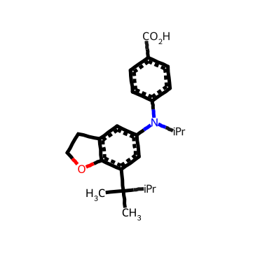 CC(C)N(c1ccc(C(=O)O)cc1)c1cc2c(c(C(C)(C)C(C)C)c1)OCC2